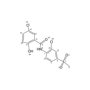 CS(=O)(=O)c1ccc(NC(=O)c2cc(Cl)ccc2O)c(Cl)c1